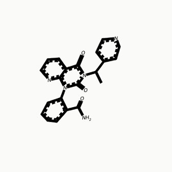 CC(c1ccncc1)n1c(=O)c2cccnc2n(-c2ccccc2C(N)=O)c1=O